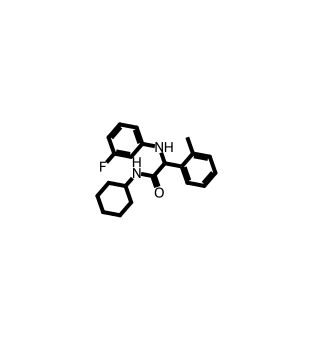 Cc1ccccc1C(Nc1cccc(F)c1)C(=O)NC1CCCCC1